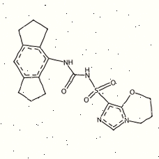 O=C(Nc1c2c(cc3c1CCC3)CCC2)NS(=O)(=O)c1ncn2c1OCCC2